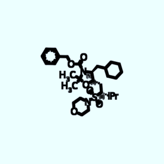 CC(C)[C@@H](C[C@@H]1OC(C)(C)N(C(=O)OCc2ccccc2)[C@H]1CC1CCCCC1)S(=O)(=O)N1CCOCC1